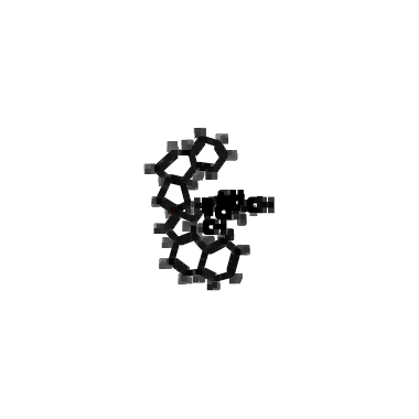 Cl.Cl.[CH3][Hf]([CH3])(=[SiH2])([CH]1C=Cc2ccc3ccccc3c21)[CH]1C=Cc2ccc3ccccc3c21